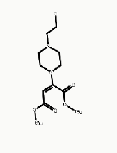 CC(C)(C)OC(=O)/C=C(\C(=O)OC(C)(C)C)N1CCN(CCCl)CC1